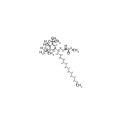 CCCCCCCCCCCCCCCC(CCNC(=O)CC)c1cc(C(C)(C)C)c(O)c(C(C)(C)C)c1